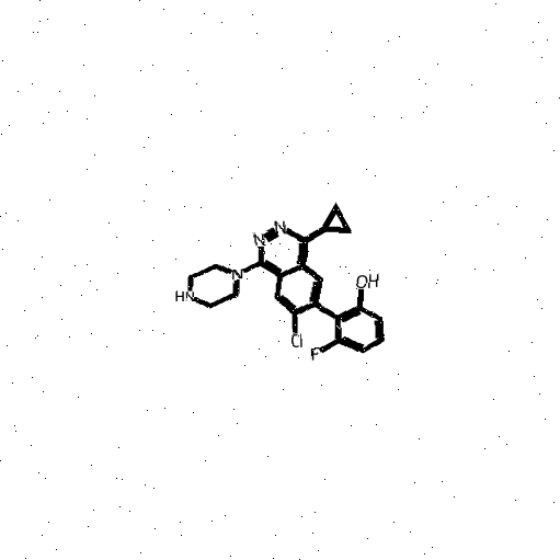 Oc1cccc(F)c1-c1cc2c(C3CC3)nnc(N3CCNCC3)c2cc1Cl